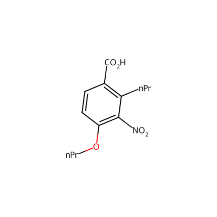 CCCOc1ccc(C(=O)O)c(CCC)c1[N+](=O)[O-]